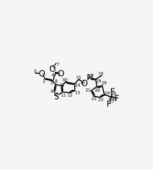 COC=C(C(=O)OC)c1csc2ccc(CON=C(C)c3cccc(C(F)(F)F)c3)cc12